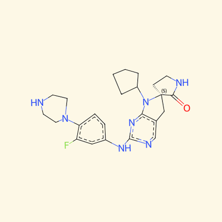 O=C1NCC[C@@]12Cc1cnc(Nc3ccc(N4CCNCC4)c(F)c3)nc1N2C1CCCC1